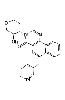 O=c1c2cc(Cc3cccnc3)c3ccccc3c2ncn1[C@H]1CCOC[C@@H]1O